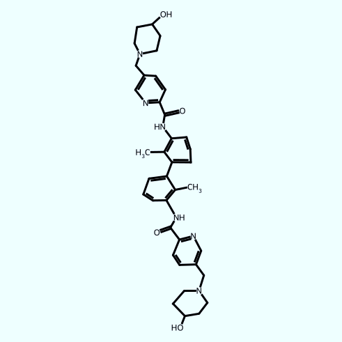 Cc1c(NC(=O)c2ccc(CN3CCC(O)CC3)cn2)cccc1-c1cccc(NC(=O)c2ccc(CN3CCC(O)CC3)cn2)c1C